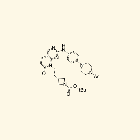 CC(=O)N1CCN(c2ccc(Nc3ncc4ccc(=O)n(CCC5CN(C(=O)OC(C)(C)C)C5)c4n3)cc2)CC1